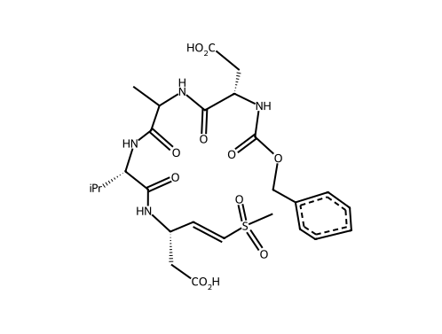 CC(NC(=O)[C@H](CC(=O)O)NC(=O)OCc1ccccc1)C(=O)N[C@H](C(=O)N[C@H](/C=C/S(C)(=O)=O)CC(=O)O)C(C)C